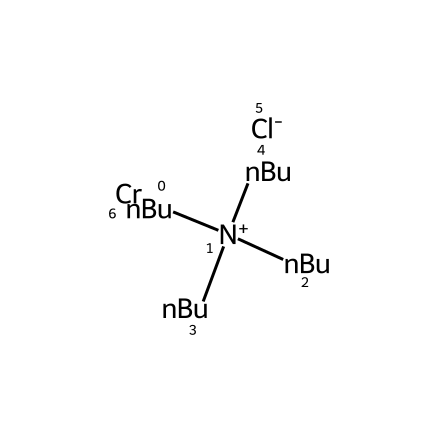 CCCC[N+](CCCC)(CCCC)CCCC.[Cl-].[Cr]